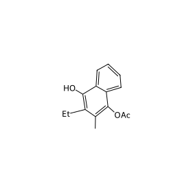 CCc1c(C)c(OC(C)=O)c2ccccc2c1O